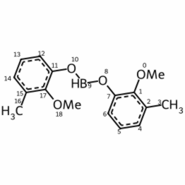 COc1c(C)cccc1OBOc1cccc(C)c1OC